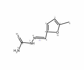 Cc1ccc(/C=N/NC(N)=S)o1